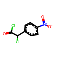 O=C(Cl)C(Cl)c1ccc([N+](=O)[O-])cc1